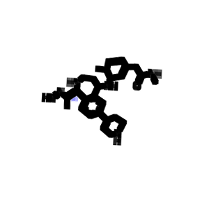 CNC(=O)CC1=CC(NC2CCN/C(=C(/C)N=N)c3ccc(C4=CCNCC4)cc32)C(C)C=C1